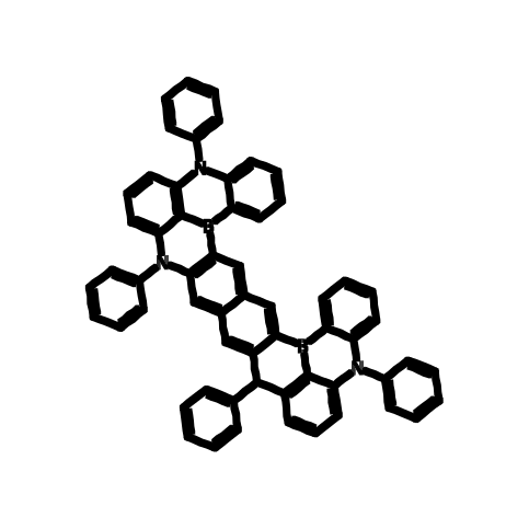 c1ccc(C2c3cc4cc5c(cc4cc3B3c4ccccc4N(c4ccccc4)c4cccc2c43)B2c3ccccc3N(c3ccccc3)c3cccc(c32)N5c2ccccc2)cc1